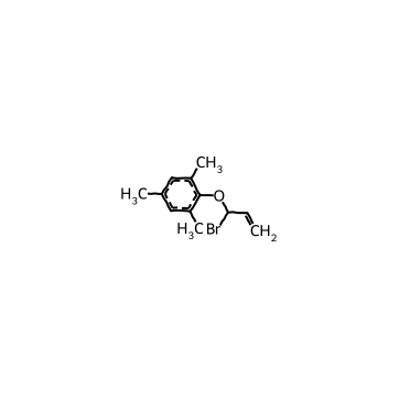 C=CC(Br)Oc1c(C)cc(C)cc1C